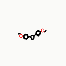 CCOc1ccc(C2CCC(c3ccc(OCC)cc3)C2)cc1